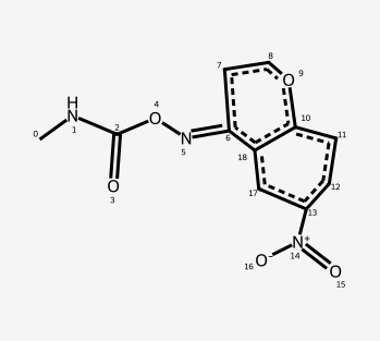 CNC(=O)ON=c1ccoc2ccc([N+](=O)[O-])cc12